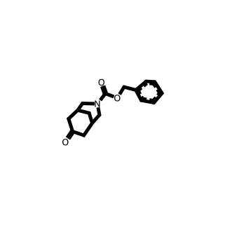 O=C1CC2CC(C1)CN(C(=O)OCc1ccccc1)C2